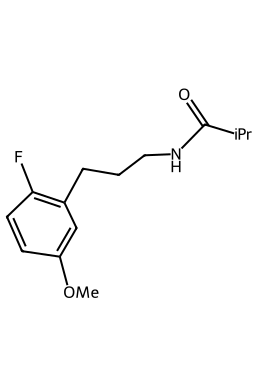 COc1ccc(F)c(CCCNC(=O)C(C)C)c1